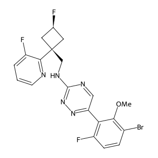 COc1c(Br)ccc(F)c1-c1cnc(NC[C@]2(c3ncccc3F)C[C@H](F)C2)nn1